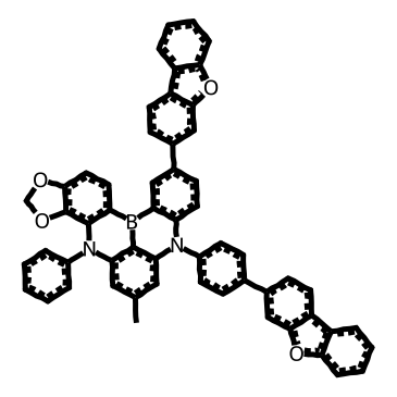 Cc1cc2c3c(c1)N(c1ccccc1)c1c(ccc4c1OCO4)B3c1cc(-c3ccc4c(c3)oc3ccccc34)ccc1N2c1ccc(-c2ccc3c(c2)oc2ccccc23)cc1